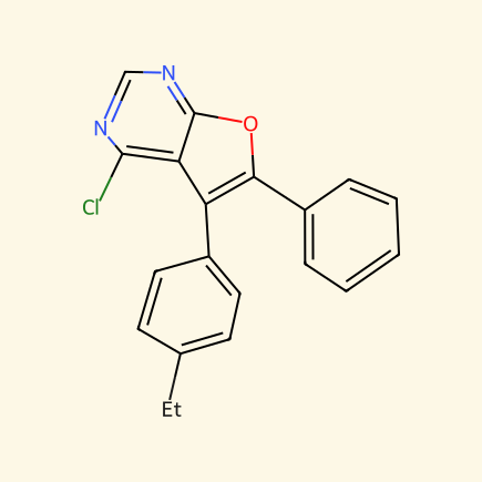 CCc1ccc(-c2c(-c3ccccc3)oc3ncnc(Cl)c23)cc1